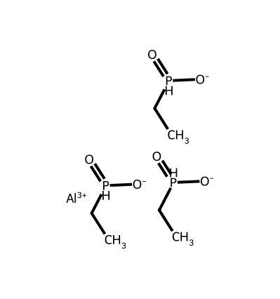 CC[PH](=O)[O-].CC[PH](=O)[O-].CC[PH](=O)[O-].[Al+3]